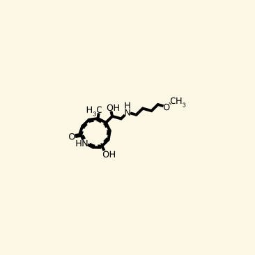 COCCCCNCC(O)c1ccc(O)c[nH]c(=O)ccc1C